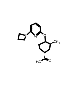 C[C@H]1C[C@H](C(=O)O)CCC1Oc1cccc(N2CCC2)n1